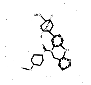 COC1C[C@@H]2CC[C@H]1CN2c1ccc2c(c1)N(C(=O)[C@H]1CC[C@H](OC(C)C)CC1)Cc1cccnc1N2